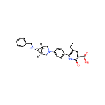 CCc1cc(C(=O)O)c(=O)[nH]c1-c1ccc(N2C[C@@H]3[C@H](C2)[C@H]3NCc2ccccc2)cc1